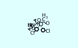 CC[C@]1(CC=O)C[C@H](c2cccc(Cl)c2)[C@@H](c2ccc(Cl)cc2)N(C(CNS(=O)(=O)C2CC2)C2CC2)C1=O